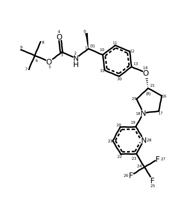 C[C@H](NC(=O)OC(C)(C)C)c1ccc(O[C@@H]2CCN(c3cccc(C(F)(F)F)n3)C2)cc1